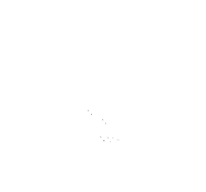 CNN1C=CC=c2ccccc2=N1